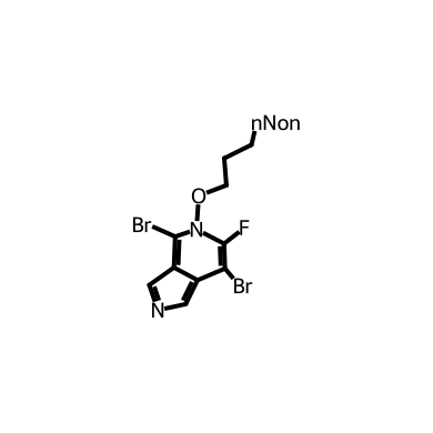 CCCCCCCCCCCCOn1c(F)c(Br)c2cncc-2c1Br